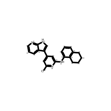 Clc1cc(-c2c[nH]c3ncccc23)cc(Nc2cccc3c2CCCC3)n1